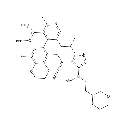 CCCO[C@H](C(=O)O)c1c(C)nc(C)c(/C=C(\C)c2ncc(N(CCC)CCC3=CCCOC3)o2)c1-c1cc(F)c2c(c1CN=[N+]=[N-])CCCO2